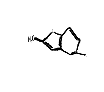 [CH2]c1cc2cc(I)ccc2s1